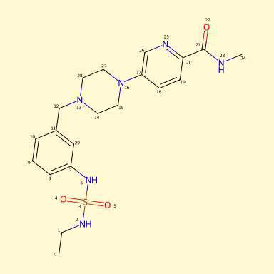 CCNS(=O)(=O)Nc1cccc(CN2CCN(c3ccc(C(=O)NC)nc3)CC2)c1